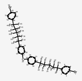 FC(F)(c1ccc(Br)cc1)C(F)(F)C(F)(F)C(F)(F)C(F)(F)c1ccc(Oc2ccc(C(F)(F)C(F)(F)C(F)(F)C(F)(F)C(F)(F)c3ccc(Br)cc3)cc2)cc1